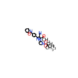 CC(=O)c1c(C#N)c(-c2ccc(-c3nc4ccccc4o3)cc2)nn1[C@@H]1CCCN(C(=O)OC(C)(C)C)C1